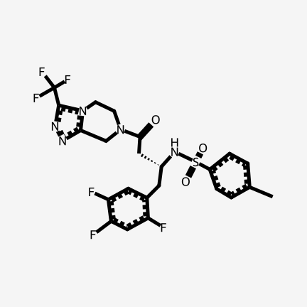 Cc1ccc(S(=O)(=O)N[C@@H](CC(=O)N2CCn3c(nnc3C(F)(F)F)C2)Cc2cc(F)c(F)cc2F)cc1